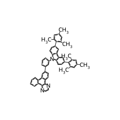 Cc1cc(C)c(-c2ccc3c(c2)c2cc(-c4c(C)cc(C)cc4C)ccc2n3-c2cccc(-c3ccc4c(c3)c3ccccc3c3nccnc43)c2)c(C)c1